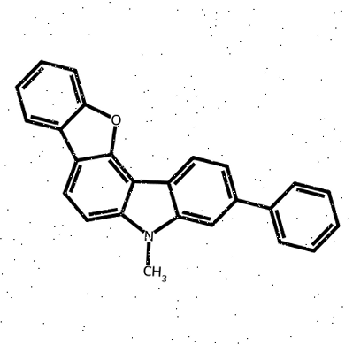 Cn1c2cc(-c3ccccc3)ccc2c2c3oc4ccccc4c3ccc21